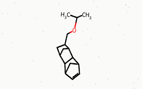 CC(C)OCC1CC2CC1C1C3C=CC(C3)C21